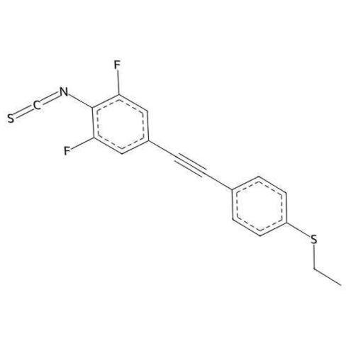 CCSc1ccc(C#Cc2cc(F)c(N=C=S)c(F)c2)cc1